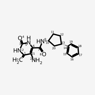 C=C1NC(=O)NC(C(=O)N[C@@H]2CC[C@H](c3ccccc3)C2)=C1N